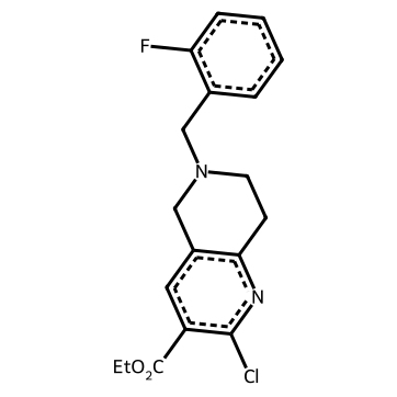 CCOC(=O)c1cc2c(nc1Cl)CCN(Cc1ccccc1F)C2